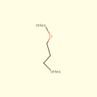 CCCCCCCCCOCCCCCC